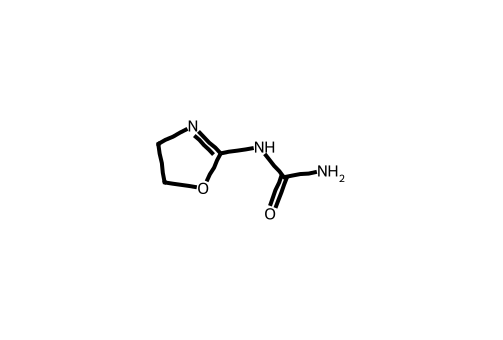 NC(=O)NC1=NCCO1